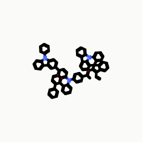 C=CC1=C(/C=C(\C)c2ccc(N(c3ccc(-c4ccc5c(c4)c4ccccc4n5-c4ccccc4)cc3)c3ccccc3-c3ccccc3-c3ccccc3)cc2)C2(c3ccccc31)c1ccccc1-n1c3ccccc3c3cccc2c31